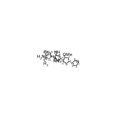 COc1cc(-c2cccnc2)ccc1C(=N)SC(=N)N(C)C(CC(C)C)CC(C)(C)N